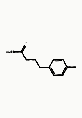 CNC(=O)CCCc1ccc(C)cc1